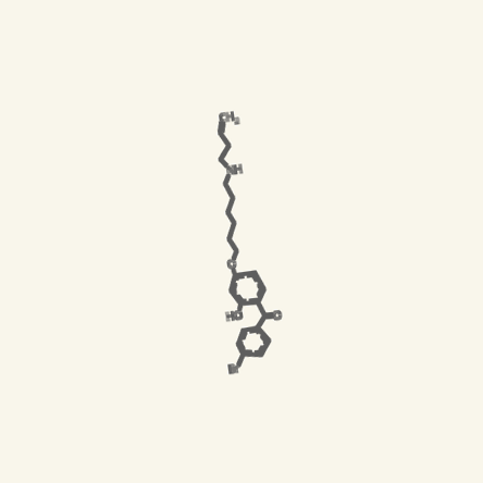 C=CCCNCCCCCCOc1ccc(C(=O)c2ccc(Br)cc2)c(O)c1